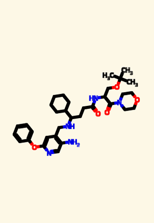 CC(C)(C)OCC(NC(=O)CCC(NCc1cc(Oc2ccccc2)ncc1N)C1CCCCC1)C(=O)N1CCOCC1